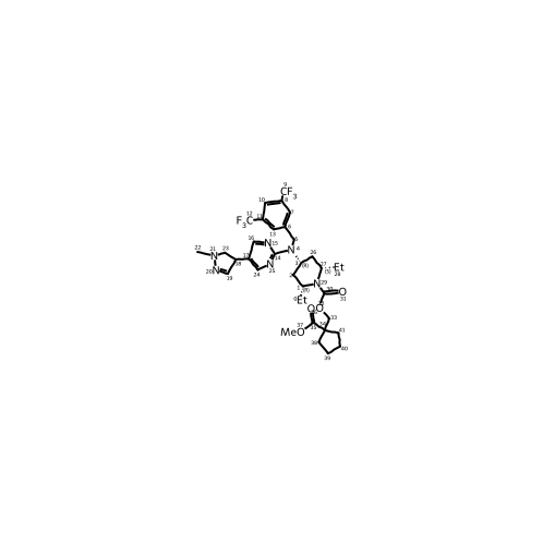 CC[C@@H]1C[C@H](N(Cc2cc(C(F)(F)F)cc(C(F)(F)F)c2)c2ncc(C3C=NN(C)C3)cn2)C[C@H](CC)N1C(=O)OCC1(C(=O)OC)CCCC1